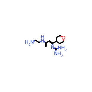 C=C(/C=C(\N=C(N)N)C1CCOCC1)NCCN